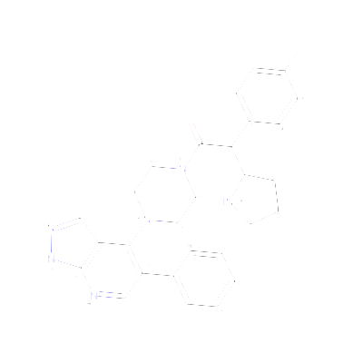 O=C(C(c1ccc(Cl)cc1)C1CCCN1)N1CCN(c2c(-c3ccccc3)cnc3[nH]ncc23)CC1